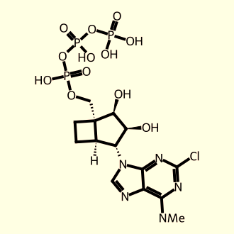 CNc1nc(Cl)nc2c1ncn2[C@H]1[C@H](O)[C@H](O)[C@]2(COP(=O)(O)OP(=O)(O)OP(=O)(O)O)CC[C@H]12